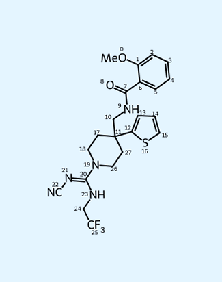 COc1ccccc1C(=O)NCC1(c2cccs2)CCN(/C(=N/C#N)NCC(F)(F)F)CC1